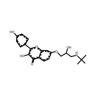 CC(C)(C)NCC(O)COc1ccc2c(=O)c(O)c(-c3ccc(O)cc3)oc2c1